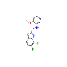 COc1ccccc1NCc1nc2c(F)c(F)ccc2s1